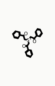 O=C(C[S+](CC(=O)c1ccccc1)CC(=O)c1ccccc1)c1ccccc1